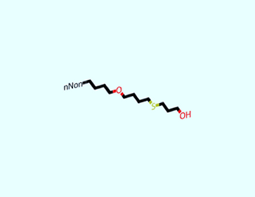 CCCCCCCCCCCCCOCCCCSCCCO